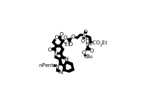 CCCCCN1C=Nc2cccc3nc4c(c1c23)Cn1c-4cc2c(c1=O)COC(=O)[C@@]2(CC)OC(=O)OCCS(=O)(=O)C[C@H](NC(=O)OC(C)(C)C)C(=O)OCC